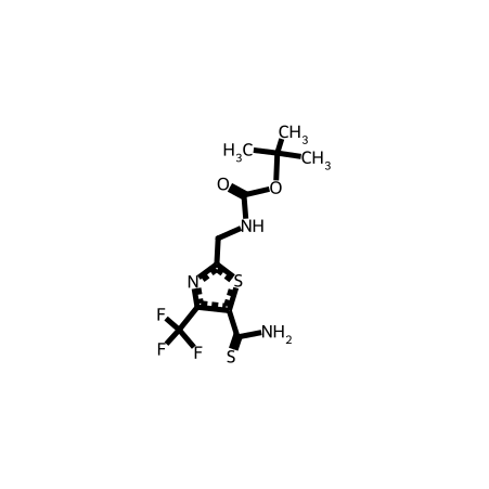 CC(C)(C)OC(=O)NCc1nc(C(F)(F)F)c(C(N)=S)s1